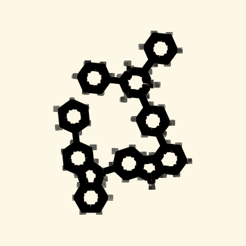 c1ccc(-c2ccc3c4ccccc4n(-c4ccc5c(c4)oc4cccc(-c6ccc(-c7nc(-c8ccccc8)nc(-c8ccccc8)n7)cc6)c45)c3c2)cc1